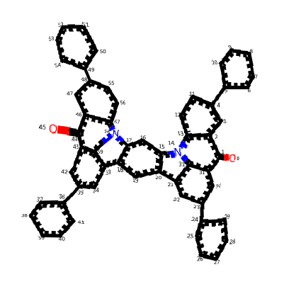 O=c1c2cc(-c3ccccc3)ccc2n2c3cc4c(cc3c3cc(-c5ccccc5)cc1c32)c1cc(-c2ccccc2)cc2c(=O)c3cc(-c5ccccc5)ccc3n4c21